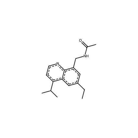 CCc1cc(CNC(C)=O)c2nccc(C(C)C)c2c1